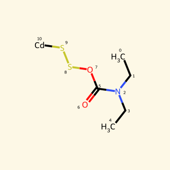 CCN(CC)C(=O)OS[S][Cd]